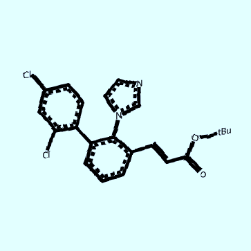 CC(C)(C)OC(=O)C=Cc1cccc(-c2ccc(Cl)cc2Cl)c1-n1ccnc1